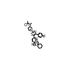 CC(=O)N(C)C1CCN(c2nc(-c3ccc(F)cc3)c(-c3ccc(=O)n(CC4(O)CCCCC4)n3)s2)C1